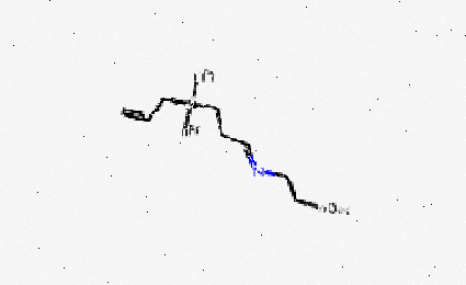 C=CC[Si](CCC)(CCC)CCC=NCCCCCCCCCCCC